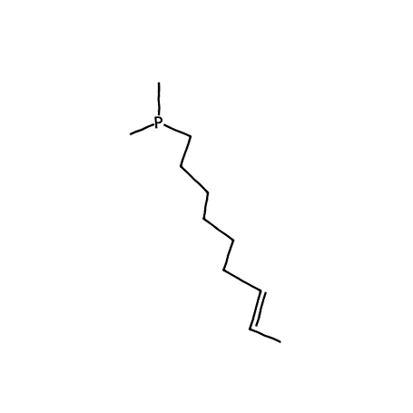 C/C=C/CCCCCCP(C)C